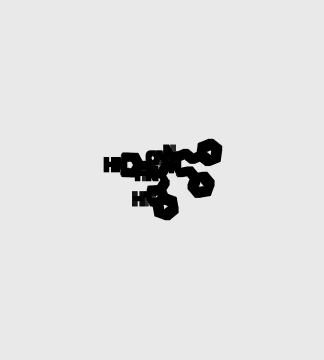 O=C(N[C@H](Cc1c[nH]c2ccccc12)c1nnc(CCc2ccccc2)n1CCc1ccccc1)C1CCNCC1